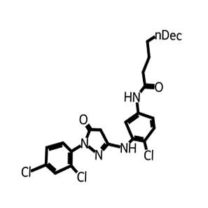 CCCCCCCCCCCCCC(=O)Nc1ccc(Cl)c(NC2=NN(c3ccc(Cl)cc3Cl)C(=O)C2)c1